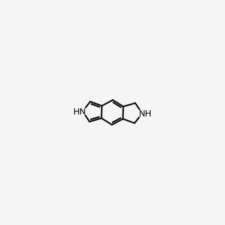 c1[nH]cc2cc3c(cc12)CNC3